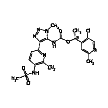 Cc1cc([C@@H](C)OC(=O)Nc2c(-c3ccc(NS(C)(=O)=O)c(C)n3)nnn2C)c(Cl)cn1